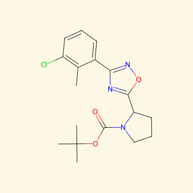 Cc1c(Cl)cccc1-c1noc(C2CCCN2C(=O)OC(C)(C)C)n1